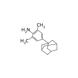 Cc1cc(C23CC4CC(CC(C4)C2)C3)cc(C)c1N